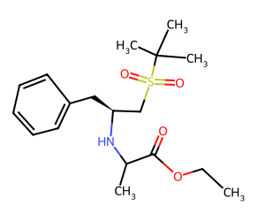 CCOC(=O)C(C)N[C@@H](Cc1ccccc1)CS(=O)(=O)C(C)(C)C